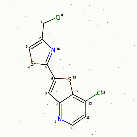 ClCc1csc(-c2cc3nccc(Cl)c3s2)n1